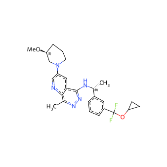 CO[C@H]1CCCN(c2cnc3c(C)nnc(N[C@H](C)c4cccc(C(F)(F)OC5CC5)c4)c3c2)C1